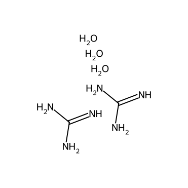 N=C(N)N.N=C(N)N.O.O.O